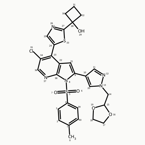 Cc1ccc(S(=O)(=O)n2c(-c3cnn(CC4OCCO4)c3)cc3c(-c4cnc(C5(O)CCC5)s4)c(Cl)cnc32)cc1